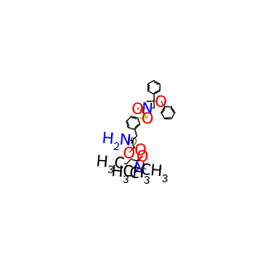 CC(C)C(OC(=O)[C@@H](N)Cc1cccc(S(=O)(=O)N2CC(Oc3ccccc3)(c3ccccc3)C2)c1)C(=O)N(C)C